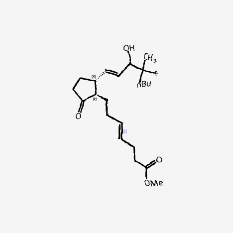 CCCCC(C)(F)C(O)C=C[C@H]1CCC(=O)[C@@H]1CC/C=C/CCC(=O)OC